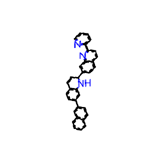 C1=CC(c2ccc3ccc(-c4ccccn4)nc3c2)Nc2cc(-c3ccc4ccccc4c3)ccc21